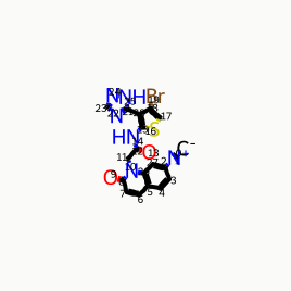 [C-]#[N+]c1ccc2ccc(=O)n(CC(=O)Nc3scc(Br)c3-c3ncn[nH]3)c2c1